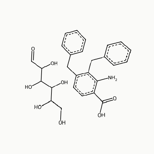 Nc1c(C(=O)O)ccc(Cc2ccccc2)c1Cc1ccccc1.O=CC(O)C(O)C(O)C(O)CO